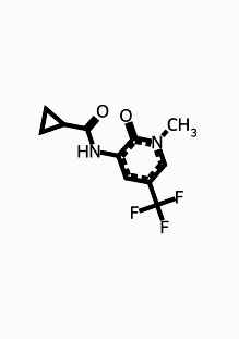 Cn1cc(C(F)(F)F)cc(NC(=O)C2CC2)c1=O